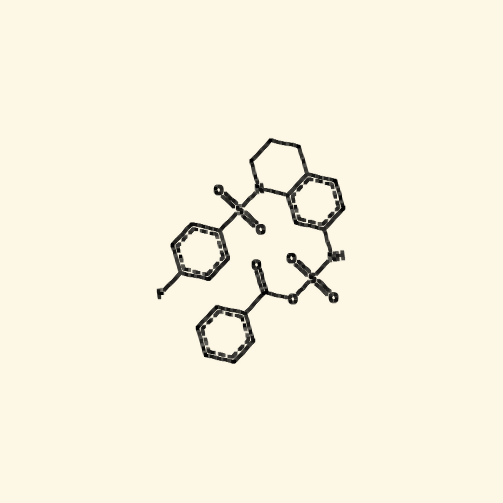 O=C(OS(=O)(=O)Nc1ccc2c(c1)N(S(=O)(=O)c1ccc(F)cc1)CCC2)c1ccccc1